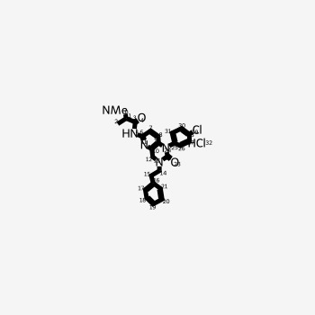 CNC(C)C(=O)Nc1ccc2c(n1)CN(CCc1ccccc1)C(=O)N2c1ccc(Cl)cc1.Cl